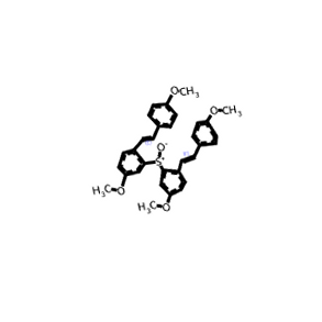 COc1ccc(/C=C/c2ccc(OC)cc2[S+]([O-])c2cc(OC)ccc2/C=C/c2ccc(OC)cc2)cc1